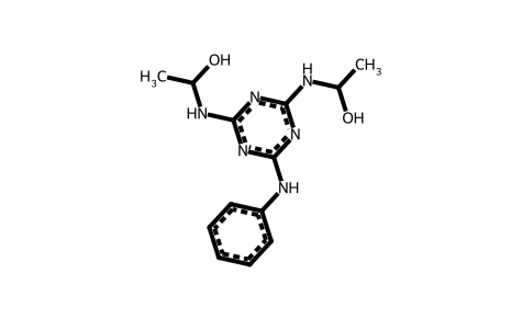 CC(O)Nc1nc(Nc2ccccc2)nc(NC(C)O)n1